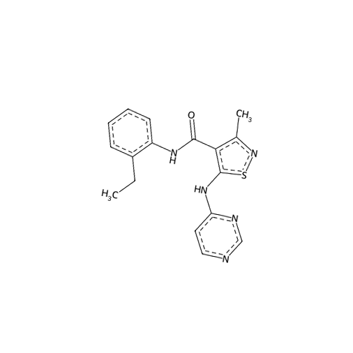 CCc1ccccc1NC(=O)c1c(C)nsc1Nc1ccncn1